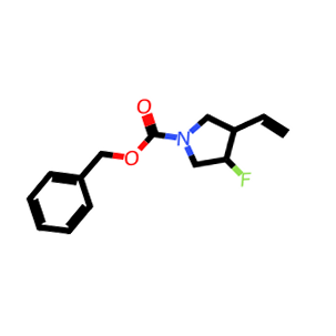 C=CC1CN(C(=O)OCc2ccccc2)CC1F